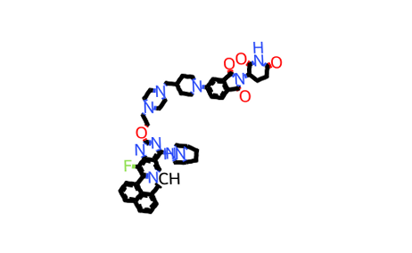 C#Cc1cccc2cccc(-c3ncc4c(N5CC6CCC(C5)N6)nc(OCCN5CCN(CC6CCN(c7ccc8c(c7)C(=O)N(C7CCC(=O)NC7=O)C8=O)CC6)CC5)nc4c3F)c12